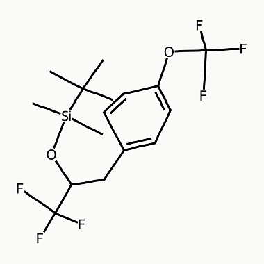 CC(C)(C)[Si](C)(C)OC(Cc1ccc(OC(F)(F)F)cc1)C(F)(F)F